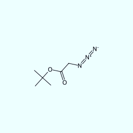 CC(C)(C)OC(=O)CN=[N+]=[N-]